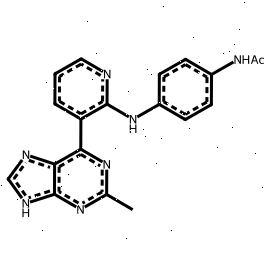 CC(=O)Nc1ccc(Nc2ncccc2-c2nc(C)nc3[nH]cnc23)cc1